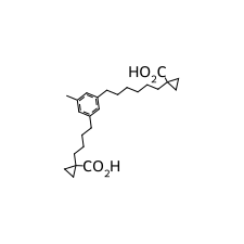 Cc1cc(CCCCCCC2(C(=O)O)CC2)cc(CCCCC2(C(=O)O)CC2)c1